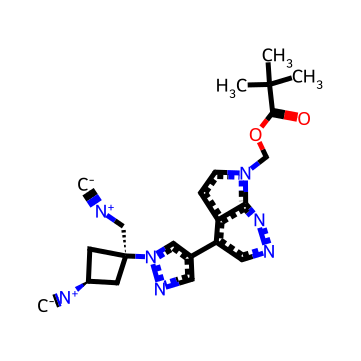 [C-]#[N+]C[C@]1(n2cc(-c3cnnc4c3ccn4COC(=O)C(C)(C)C)cn2)C[C@@H]([N+]#[C-])C1